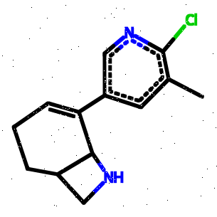 Cc1cc(C2=CCCC3CNC23)cnc1Cl